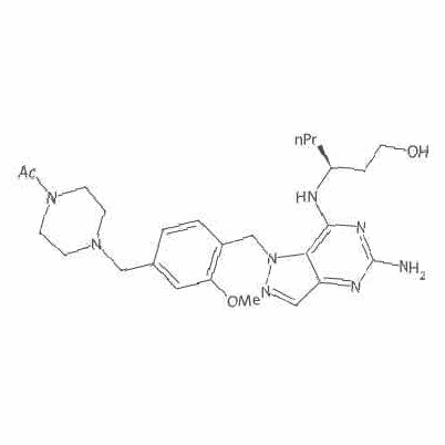 CCC[C@@H](CCO)Nc1nc(N)nc2cnn(Cc3ccc(CN4CCN(C(C)=O)CC4)cc3OC)c12